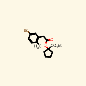 CCOC(=O)C1(OC(=O)Cc2cc(Br)ccc2C)CCCC1